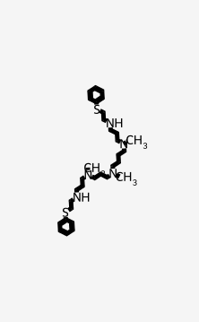 CN(CCCCN(C)CCCN(C)CCCNCCSc1ccccc1)CCCNCCSc1ccccc1